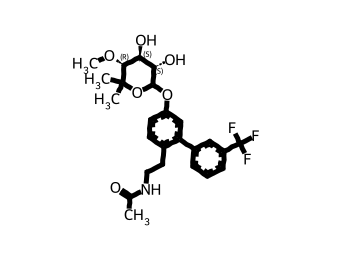 CO[C@@H]1[C@@H](O)[C@H](O)C(Oc2ccc(CCNC(C)=O)c(-c3cccc(C(F)(F)F)c3)c2)OC1(C)C